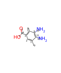 Cc1cc(C(=O)O)c(C)c(N)c1N